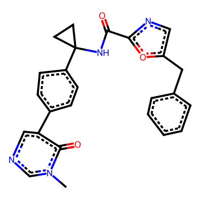 Cn1cncc(-c2ccc(C3(NC(=O)c4ncc(Cc5ccccc5)o4)CC3)cc2)c1=O